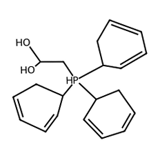 OC(O)C[PH](C1C=CC=CC1)(C1C=CC=CC1)C1C=CC=CC1